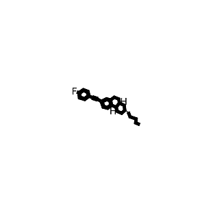 CCCCC[C@@H]1CC[C@@H]2c3ccc(C#Cc4ccc(F)cc4)cc3CC[C@@H]2C1